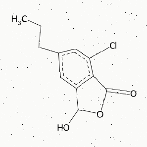 CCCc1cc(Cl)c2c(c1)C(O)OC2=O